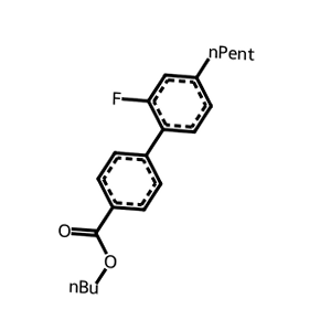 CCCCCc1ccc(-c2ccc(C(=O)OCCCC)cc2)c(F)c1